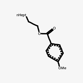 CCCCCCCCCOC(=O)c1ccc(OC)cc1